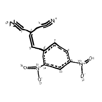 N#CC(C#N)=Cc1ccc([N+](=O)[O-])cc1[N+](=O)[O-]